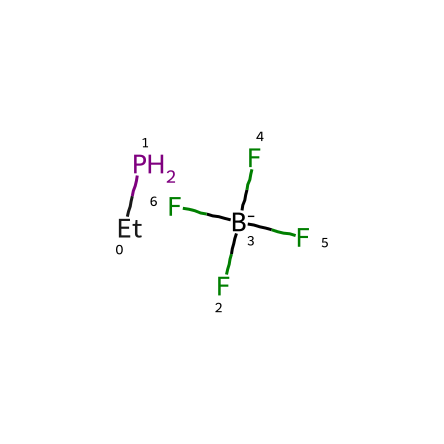 CCP.F[B-](F)(F)F